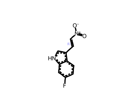 O=[N+]([O-])/C=C/c1c[nH]c2cc(F)ccc12